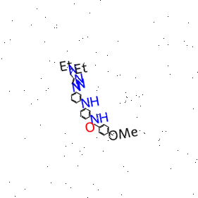 CCN(CC)Cc1cn(-c2cccc(Nc3cccc(NC(=O)c4ccc(OC)cc4)c3)c2)nn1